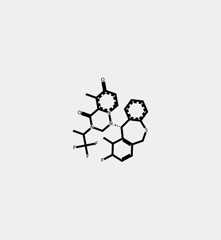 Cc1c2n(ccc1=O)N([C@H]1C3=C(C=CC(F)C3C)CSc3ccccc31)CN(C(C)C(F)(F)F)C2=O